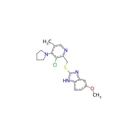 COc1ccc2[nH]c(SCc3ncc(C)c(N4CCCC4)c3Cl)nc2c1